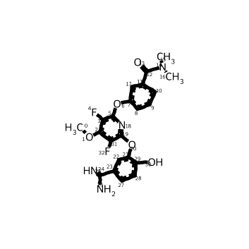 COc1c(F)c(Oc2cccc(C(=O)N(C)C)c2)nc(Oc2cc(C(=N)N)ccc2O)c1F